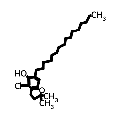 CCCCCCCCCCCCCCCCc1cc2c(c(Cl)c1O)CCC(C)(C)O2